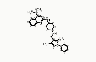 Cc1nn(-c2ccccc2)c(C)c1CNC1CCC(Nc2nc(N(C)C)c3ccccc3n2)CC1